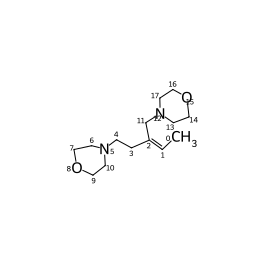 C/C=C(/CCN1CCOCC1)CN1CCOCC1